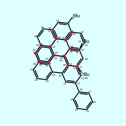 CC(C)(C)c1ccc(-c2ccccc2N(c2ccc(-c3ccccc3)cc2-c2ccccc2)c2ccccc2-c2cccc3cccc(-c4cc(C(C)(C)C)cc(C(C)(C)C)c4)c23)cc1